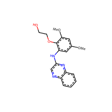 COc1cc(Nc2[c]nc3ccccc3n2)c(OCCO)c(OC)c1